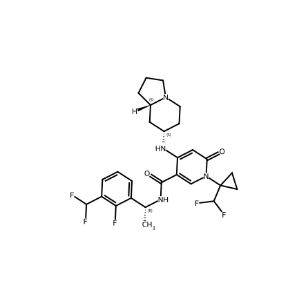 C[C@@H](NC(=O)c1cn(C2(C(F)F)CC2)c(=O)cc1N[C@H]1CCN2CCC[C@H]2C1)c1cccc(C(F)F)c1F